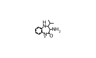 CC(C)C1Nc2ccccc2N(C)C(=O)C1N